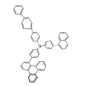 c1ccc(-c2ccc(-c3ccc(N(c4ccc(-c5cccc(-c6ccccc6)c5-c5ccccc5-c5ccccc5)cc4)c4ccc(-c5cccc6ccccc56)cc4)cc3)cc2)cc1